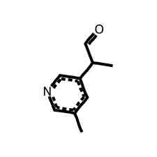 Cc1cncc(C(C)C=O)c1